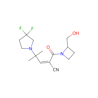 CC(C)(C=C(C#N)C(=O)N1CCC1CO)N1CCC(F)(F)C1